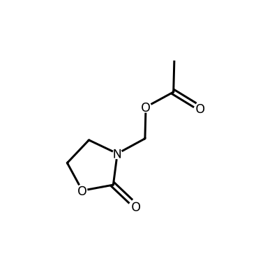 CC(=O)OCN1CCOC1=O